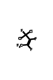 F/C(=C(\F)C(F)(Cl)Cl)C(F)(F)F